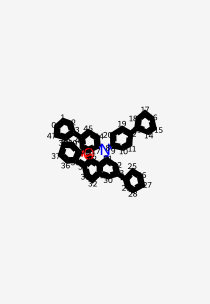 c1ccc(-c2ccc(N(c3ccc(-c4ccccc4)cc3)c3cc(-c4ccccc4)cc4ccc5c6ccccc6oc5c34)cc2)cc1